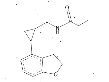 CCC(=O)NCC1CC1c1cccc2c1CCO2